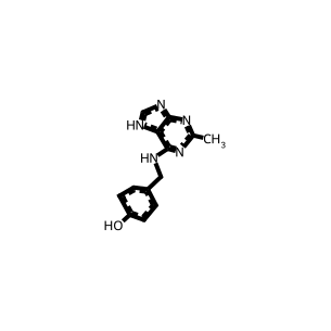 Cc1nc(NCc2ccc(O)cc2)c2[nH]cnc2n1